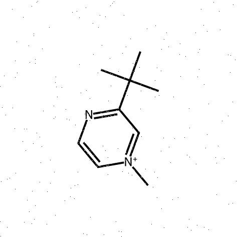 C[n+]1ccnc(C(C)(C)C)c1